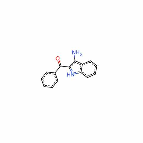 Nc1c(C(=O)c2ccccc2)[nH]c2ccccc12